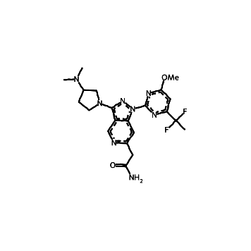 COc1cc(C(C)(F)F)nc(-n2nc(N3CCC(N(C)C)C3)c3cnc(CC(N)=O)cc32)n1